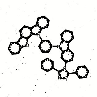 c1ccc(-c2nnc(-c3ccccc3)n2-c2ccc3c4ccccc4n(-c4cccc(-n5c6ccccc6c6ccc7c8ccccc8oc7c65)c4)c3c2)cc1